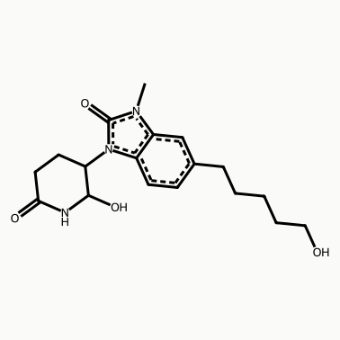 Cn1c(=O)n(C2CCC(=O)NC2O)c2ccc(CCCCCO)cc21